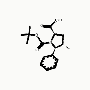 C[C@H]1C[C@H](C(=O)O)N(C(=O)OC(C)(C)C)[C@@H]1c1ccccc1